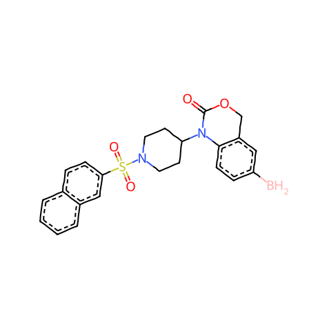 Bc1ccc2c(c1)COC(=O)N2C1CCN(S(=O)(=O)c2ccc3ccccc3c2)CC1